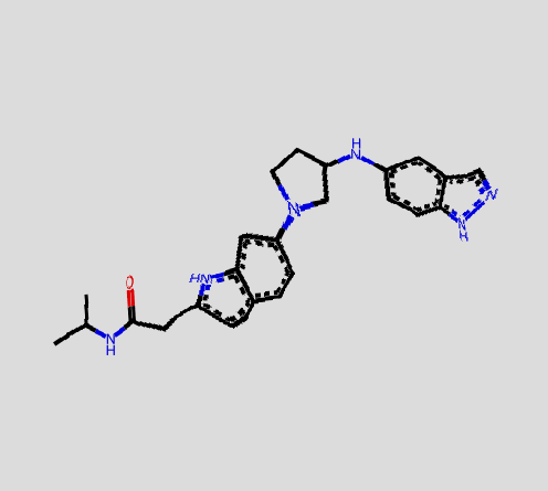 CC(C)NC(=O)Cc1cc2ccc(N3CCC(Nc4ccc5[nH]ncc5c4)C3)cc2[nH]1